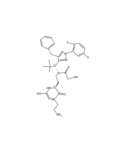 CC(C)(C)[C@H](c1nn(-c2cc(F)ccc2F)cc1Cc1ccccc1)N(CC[C@H](NC(=O)O)C(=O)NCCN)C(=O)CO